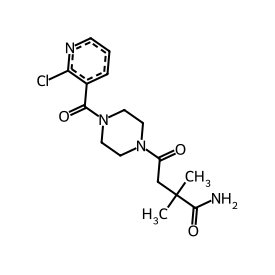 CC(C)(CC(=O)N1CCN(C(=O)c2cccnc2Cl)CC1)C(N)=O